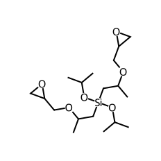 CC(C)O[Si](CC(C)OCC1CO1)(CC(C)OCC1CO1)OC(C)C